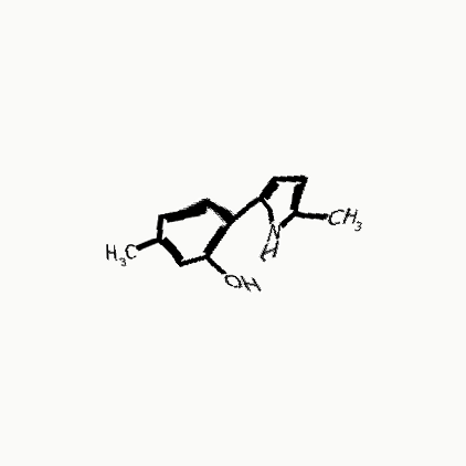 Cc1ccc(-c2ccc(C)[nH]2)c(O)c1